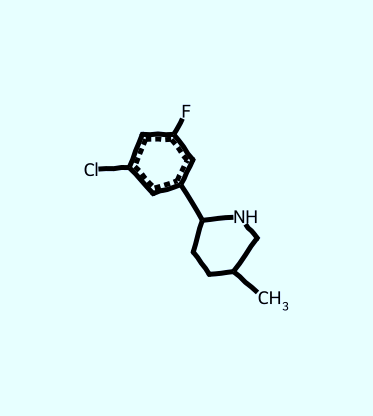 CC1CCC(c2cc(F)cc(Cl)c2)NC1